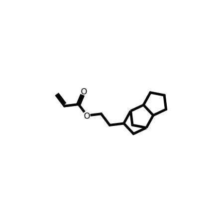 C=CC(=O)OCCC1CC2CC1C1CCCC21